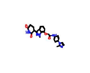 Cc1nccn1-c1ccc(NC(=O)COc2cccc3c(C4CCC(=O)NC4=O)nn(C)c23)cc1